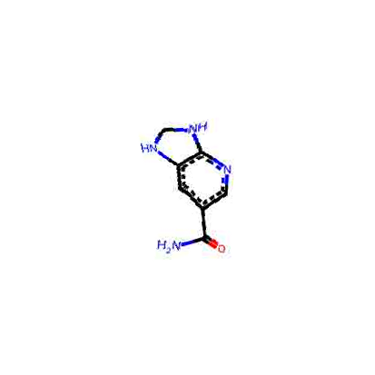 NC(=O)c1cnc2c(c1)NCN2